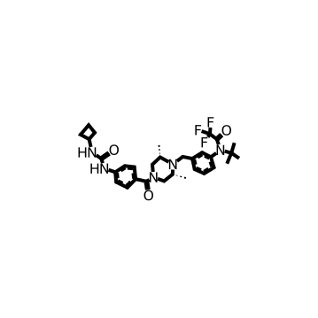 C[C@@H]1CN(C(=O)c2ccc(NC(=O)NC3CCC3)cc2)C[C@H](C)N1Cc1cccc(N(C(=O)C(F)(F)F)C(C)(C)C)c1